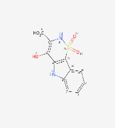 O=C(O)C1=C(O)c2[nH]c3ccccc3c2S(=O)(=O)N1